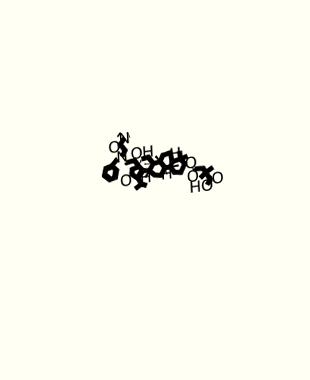 CC(C)C1=C2[C@H]3CC[C@@H]4[C@@]5(C)CC[C@@H](OC(=O)CC(C)(C)C(=O)O)C(C)(C)[C@@H]5CC[C@@]4(C)[C@]3(C)CC[C@@]2([C@@H](O)CN(CC(=O)N(C)C)Cc2ccccc2)CC1=O